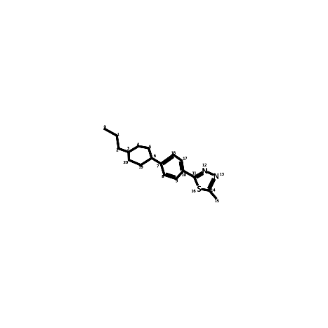 CCCC1CCC(c2ccc(-c3nnc(C)s3)cc2)CC1